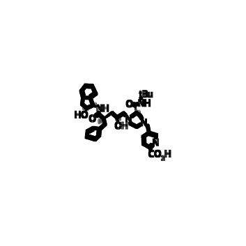 CC(C)(C)NC(=O)[C@@H]1CN(Cc2ccc(C(=O)O)nc2)CCN1C[C@@H](O)C[C@@H](Cc1ccccc1)C(=O)N[C@H]1c2ccccc2C[C@H]1O